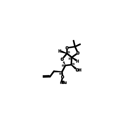 C=CC[C@H](OCCCC)[C@@H]1O[C@@H]2OC(C)(C)O[C@@H]2[C@H]1O